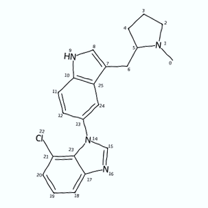 CN1CCCC1Cc1c[nH]c2ccc(-n3cnc4cccc(Cl)c43)cc12